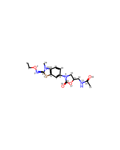 CCON=c1sc2cc(N3CC(CNC(C)=O)OC3=O)ccc2n1C